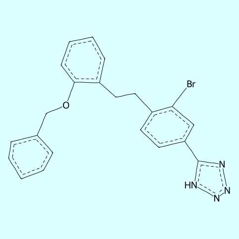 Brc1cc(-c2nnn[nH]2)ccc1CCc1ccccc1OCc1ccccc1